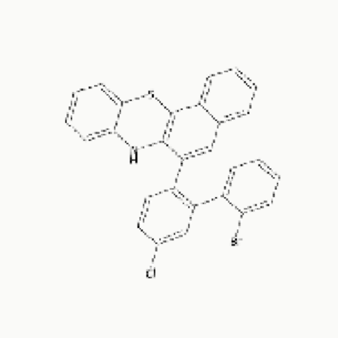 Clc1ccc(-c2cc3ccccc3c3c2Nc2ccccc2S3)c(-c2ccccc2Br)c1